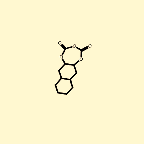 O=C1OC(=O)OC2CC3CCCCC3CC2O1